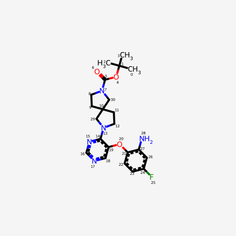 CC(C)(C)OC(=O)N1CCC2(CCN(c3ncncc3Oc3ccc(F)cc3N)C2)C1